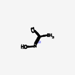 B/C(Cl)=N/O